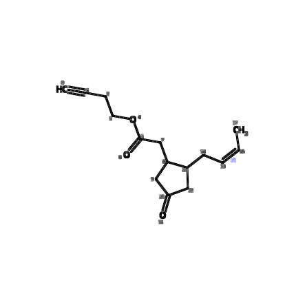 C#CCCOC(=O)CC1CC(=O)CC1C/C=C\C